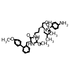 COC(=O)N[C@@H](Cc1ccccc1-c1ccc(OC)cc1)C(=O)NCCC[C@@H](CO)N(CC(C)C)S(=O)(=O)c1ccc(N)cc1